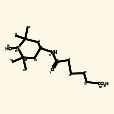 CC1(C)CC(NC(=O)CCCCC(=O)O)CC(C)(C)N1O